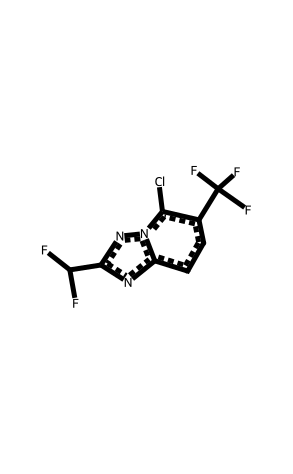 FC(F)c1nc2ccc(C(F)(F)F)c(Cl)n2n1